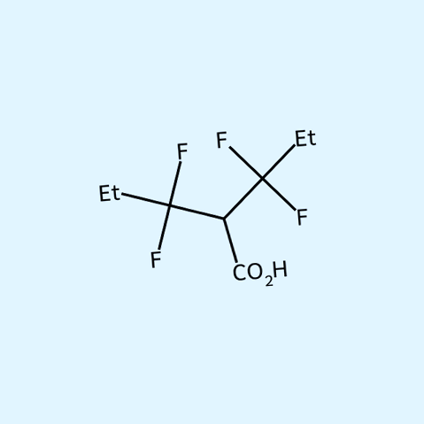 CCC(F)(F)C(C(=O)O)C(F)(F)CC